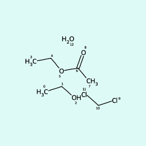 CCO.CCOC(C)=O.ClCCl.O